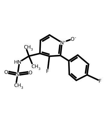 CC(C)(NS(C)(=O)=O)c1cc[n+]([O-])c(-c2ccc(F)cc2)c1F